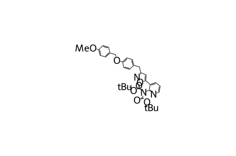 COc1ccc(COc2ccc(Cc3cc(-c4cccnc4N(C(=O)OC(C)(C)C)C(=O)OC(C)(C)C)on3)cc2)cc1